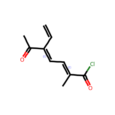 C=C/C(=C\C=C(/C)C(=O)Cl)C(C)=O